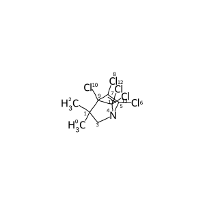 CC1(C)CN2C(Cl)=C(Cl)C1(Cl)C2(Cl)Cl